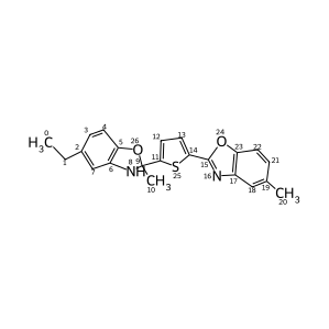 CCc1ccc2c(c1)NC(C)(c1ccc(-c3nc4cc(C)ccc4o3)s1)O2